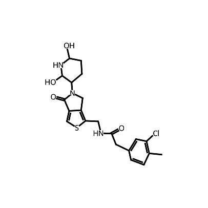 Cc1ccc(CC(=O)NCc2scc3c2CN(C2CCC(O)NC2O)C3=O)cc1Cl